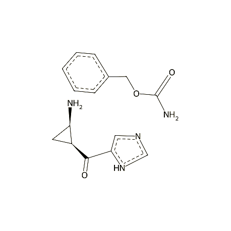 NC(=O)OCc1ccccc1.N[C@@H]1C[C@@H]1C(=O)c1cnc[nH]1